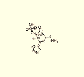 NC[C@H]1C=C(c2cnco2)[C@@H]2CN1C(=O)N2OS(=O)(=O)O